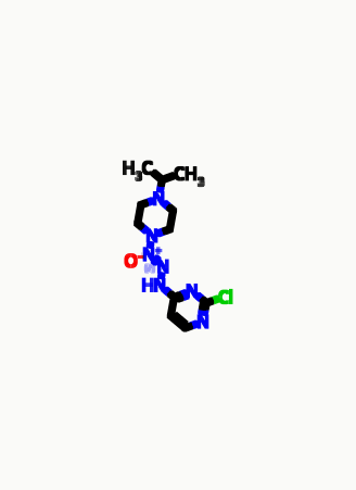 CC(C)N1CCN(/[N+]([O-])=N/Nc2ccnc(Cl)n2)CC1